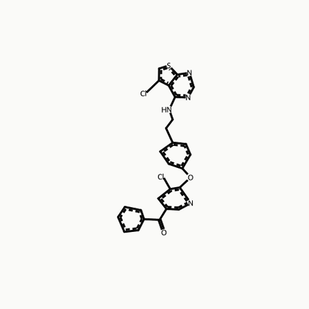 O=C(c1ccccc1)c1cnc(Oc2ccc(CCNc3ncnc4scc(Cl)c34)cc2)c(Cl)c1